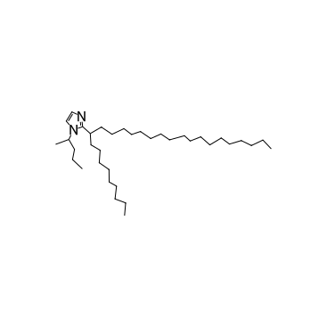 CCCCCCCCCCCCCCCCCCC(CCCCCCCCC)c1nccn1C(C)CCC